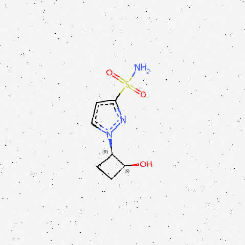 NS(=O)(=O)c1ccn([C@@H]2CC[C@@H]2O)n1